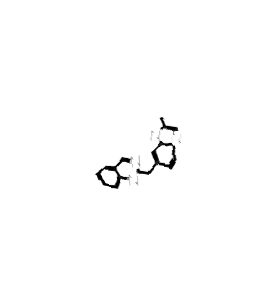 Cc1cnc2ccc(Cc3ncc4ccccc4n3)cc2n1